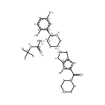 Cn1c(C(=O)N2CCOCC2)nc2c1CN([C@H]1CO[C@H](c3cc(F)ccc3F)[C@@H](NC(=O)OC(C)(C)C)C1)C2